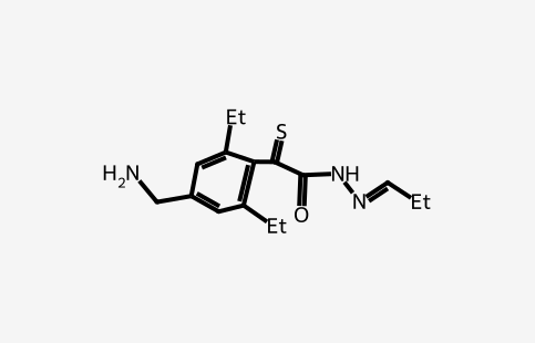 CCC=NNC(=O)C(=S)c1c(CC)cc(CN)cc1CC